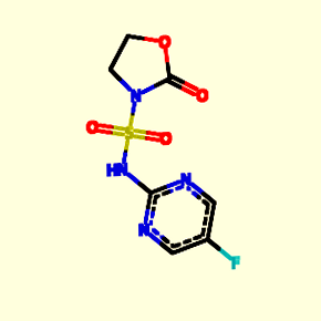 O=C1OCCN1S(=O)(=O)Nc1ncc(F)cn1